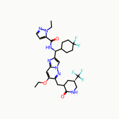 CCOc1cc2nc([C@@H](NC(=O)c3ccnn3CC)C3CCC(F)(F)CC3)cn2nc1CC1C[C@@H](C(F)(F)F)CNC1=O